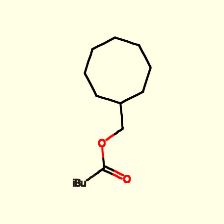 CCC(C)C(=O)OCC1CCCCCCC1